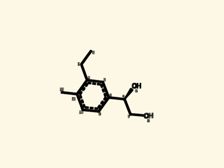 CCc1cc([C@@H](O)CO)ccc1C